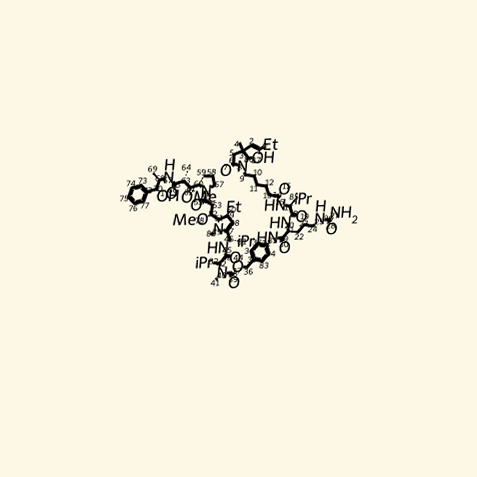 CCC=CC1(C)CC(=O)N(CCCCCC(=O)N[C@H](C(=O)N[C@@H](CCCNC(N)=O)C(=O)Nc2ccc(COC(=O)N(C)C(C(=O)N[C@H](C3=C[C@@H](CC)[C@@H]([C@@H](CC(=O)N4CCC[C@H]4[C@H](OC)[C@@H](C)C(=O)N[C@H](C)[C@@H](O)c4ccccc4)OC)N3C)C(C)C)C(C)C)cc2)C(C)C)C1O